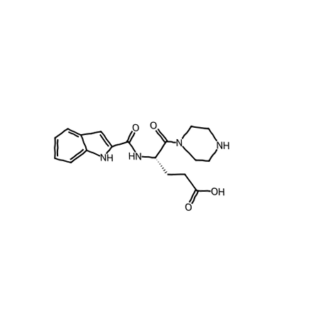 O=C(O)CC[C@H](NC(=O)c1cc2ccccc2[nH]1)C(=O)N1CCNCC1